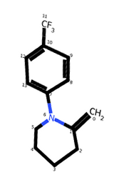 C=C1CCCCN1c1ccc(C(F)(F)F)cc1